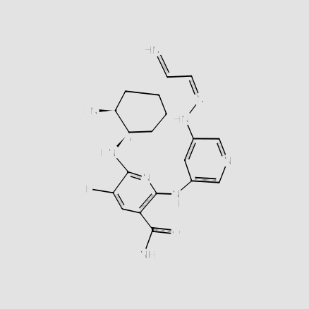 N=C/C=N\Nc1cncc(Nc2nc(N[C@@H]3CCCC[C@@H]3N)c(F)cc2C(N)=O)c1